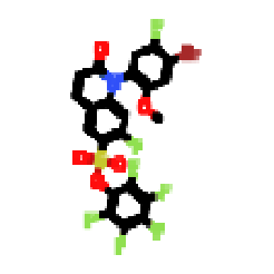 COC1=C(n2c(=O)ccc3cc(S(=O)(=O)Oc4c(F)c(F)c(F)c(F)c4F)c(F)cc32)CC(F)C(Br)=C1